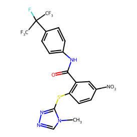 Cn1cnnc1Sc1ccc([N+](=O)[O-])cc1C(=O)Nc1ccc(C(F)(C(F)(F)F)C(F)(F)F)cc1